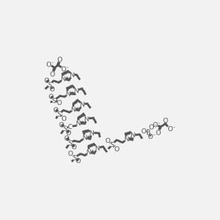 CCn1cc[n+](CCS(C)(=O)=O)c1.CCn1cc[n+](CCS(C)(=O)=O)c1.CCn1cc[n+](CCS(C)(=O)=O)c1.CCn1cc[n+](CCS(C)(=O)=O)c1.CCn1cc[n+](CCS(C)(=O)=O)c1.CCn1cc[n+](CCS(C)(=O)=O)c1.CCn1cc[n+](CCS(C)(=O)=O)c1.O=C([O-])C(=O)[O-].O=C([O-])C(=O)[O-].[O-]B([O-])[O-]